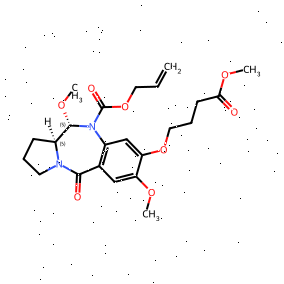 C=CCOC(=O)N1c2cc(OCCCC(=O)OC)c(OC)cc2C(=O)N2CCC[C@H]2[C@@H]1OC